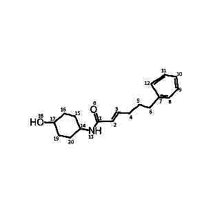 O=C(C=CCCCc1ccccc1)NC1CCC(O)CC1